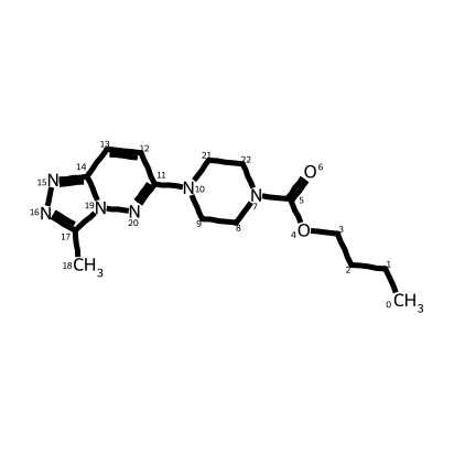 CCCCOC(=O)N1CCN(c2ccc3nnc(C)n3n2)CC1